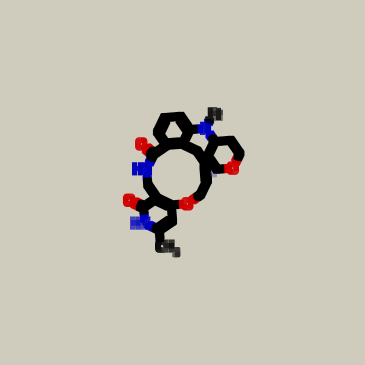 CCN(c1cccc2c1C/C=C\COc1cc(C)[nH]c(=O)c1CNC2=O)C1CCOCC1